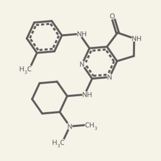 Cc1cccc(Nc2nc(NC3CCCCC3N(C)C)nc3c2C(=O)NC3)c1